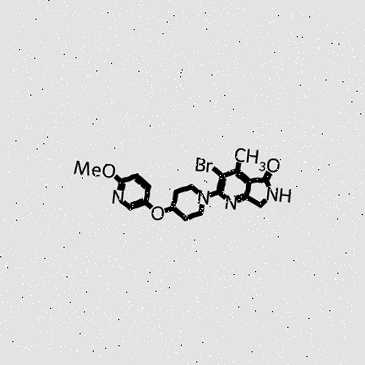 COc1ccc(OC2CCN(c3nc4c(c(C)c3Br)C(=O)NC4)CC2)cn1